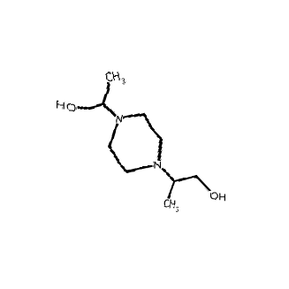 CC(O)N1CCN(C(C)CO)CC1